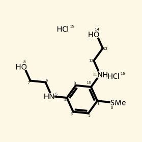 CSc1ccc(NCCO)cc1NCCO.Cl.Cl